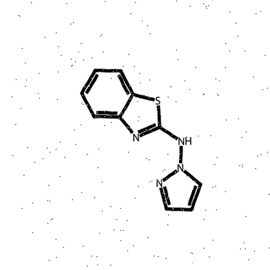 c1ccc2sc(Nn3cccn3)nc2c1